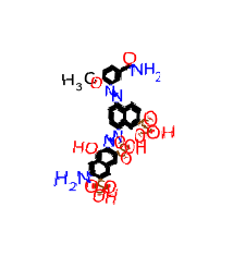 COc1ccc(C(N)=O)cc1N=Nc1ccc(N=Nc2c(S(=O)(=O)O)cc3cc(S(=O)(=O)O)c(N)cc3c2O)c2cc(S(=O)(=O)O)ccc12